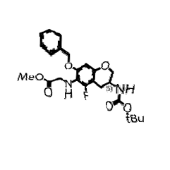 COC(=O)CNc1c(OCc2ccccc2)cc2c(c1F)C[C@H](NC(=O)OC(C)(C)C)CO2